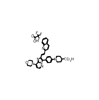 O=C(O)C(F)(F)F.O=C(O)C1CCN(c2ccc(-c3c(C=Cc4ccc5ccccc5n4)nc4c(N5CCOCC5)ccnn34)cc2)CC1